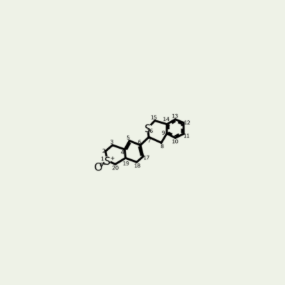 [O-][S+]1CCC2=CC(C3Cc4ccccc4CS3)=CCC2C1